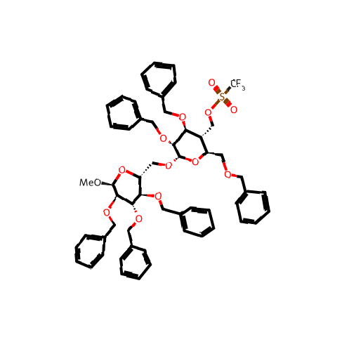 CO[C@H]1O[C@H](CO[C@H]2O[C@H](COCc3ccccc3)[C@@H](COS(=O)(=O)C(F)(F)F)[C@H](OCc3ccccc3)[C@H]2OCc2ccccc2)[C@@H](OCc2ccccc2)[C@H](OCc2ccccc2)[C@H]1OCc1ccccc1